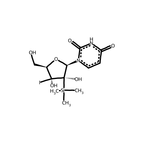 C[Si](C)(C)[C@]1(O)[C@H](n2ccc(=O)[nH]c2=O)O[C@H](CO)[C@]1(O)I